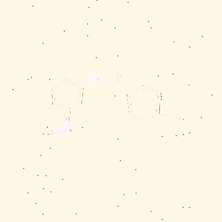 COc1ccc(S(=O)(=O)Nc2ccc3sc(C)nc3c2)cc1OC